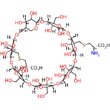 C[C@H](CSCC1O[C@@H]2O[C@@H]3CO[C@@H](O[C@@H]4C(CO)O[C@@H](O[C@@H]5C(CSC[C@@H](N)C(=O)O)O[C@@H](O[C@@H]6C(CO)O[C@H](O[C@@H]7C(CO)O[C@H](O[C@@H]8C(CO)O[C@H](O[C@H]1[C@H](O)C2O)C(O)[C@H]8O)[C@@H](O)C7O)[C@@H](O)C6O)[C@@H](O)C5O)[C@@H](O)C4O)C(O)[C@H]3O)C(=O)O